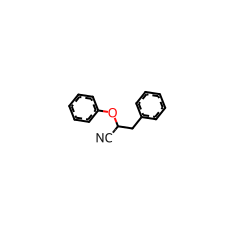 N#CC(Cc1ccccc1)Oc1ccccc1